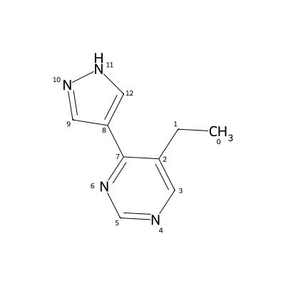 CCc1cncnc1-c1cn[nH]c1